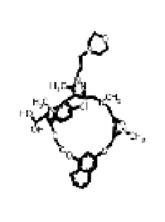 Cc1c2c(nn1CCCN1CCOCC1)CN(C)Cc1cc(n(C)n1)CSc1cc(c3ccccc3c1)OCCCc1c(C(O)O)n(C)c3c-2c(Cl)ccc13